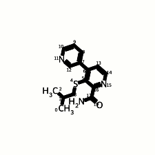 CC(C)CSc1c(-c2cccnc2)ccnc1C(N)=O